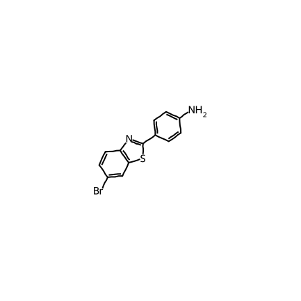 Nc1ccc(-c2nc3ccc(Br)cc3s2)cc1